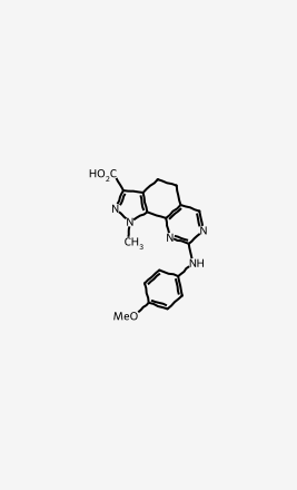 COc1ccc(Nc2ncc3c(n2)-c2c(c(C(=O)O)nn2C)CC3)cc1